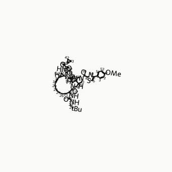 COc1ccc(-c2csc(C(=O)N3C[C@H]4CN5C(=O)[C@@H](NC(=O)NCC(C)(C)C)CCCCC/C=C\[C@H]6C[C@@]6(C(=O)NS(=O)(=O)C6CC6)NC(=O)[C@@H]5[C@H]4C3)n2)cc1